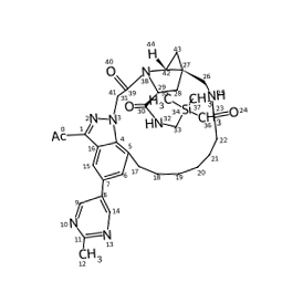 CC(=O)c1nn2c3c(cc(-c4cnc(C)nc4)cc13)CCCCCCC(=O)NC[C@@]13C[C@@H](C(=O)NC[Si](C)(C)C)N(C(=O)C2)[C@@H]1C3